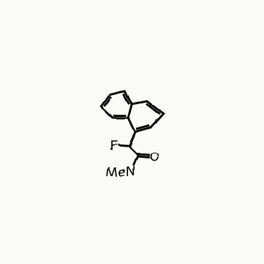 CNC(=O)C(F)c1cccc2ccccc12